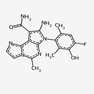 Cc1cc(F)c(O)c(C)c1-n1c(N)c(C(N)=O)c2c1nc(C)n1ccnc21